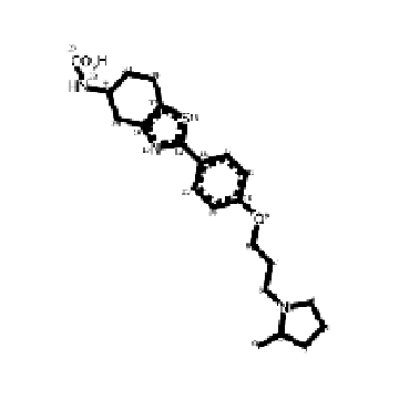 CC1CCCN1CCCOc1ccc(-c2nc3c(s2)CCC(NC(=O)O)C3)cc1